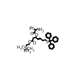 CC(C)C(N)C(=O)OC(/C=C/CCSC(c1ccccc1)(c1ccccc1)c1ccccc1)CC(=O)OCC[Si](C)(C)C